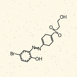 O=S(=O)(CCO)C1=CCC(N=Nc2cc(Br)ccc2O)=CC1